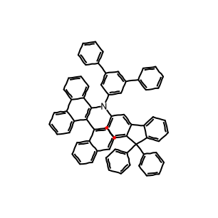 c1ccc(-c2cc(-c3ccccc3)cc(N(c3ccc4c(c3)-c3ccccc3C4(c3ccccc3)c3ccccc3)c3c(-c4cccc5ccccc45)c4ccccc4c4ccccc34)c2)cc1